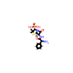 CC1(C)S[C@@H]2C(NC(=O)C(N)c3ccccc3)C(=O)N2C1P(=O)(O)O